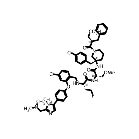 COC[C@H](NC(=O)[C@H](CCF)NCc1ccc(Cl)cc1Oc1ccc(-c2cnc(CN(C)C)n2C)cc1)C(=O)N[C@@]1(Cc2ccc(Cl)cc2)CCCN(C(=O)[C@@H](CC(=O)O)Cc2ccccc2)C1